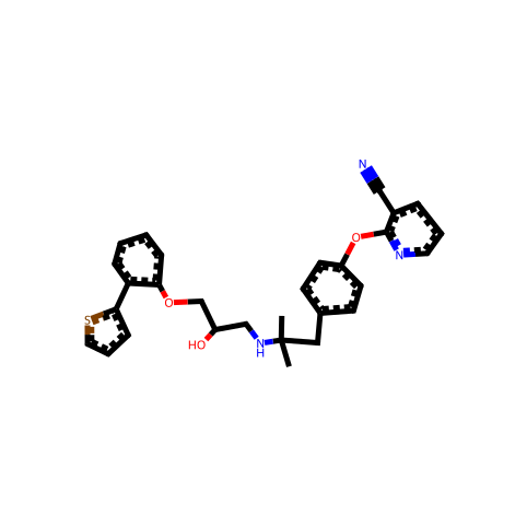 CC(C)(Cc1ccc(Oc2ncccc2C#N)cc1)NCC(O)COc1ccccc1-c1cccs1